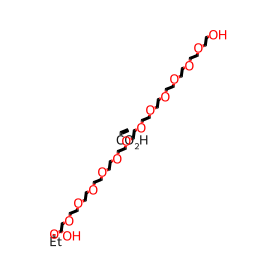 C=CC(=O)O.CCOC(O)COCCOCCOCCOCCOCCOCCOCCOCCOCCOCCOCCOCCO